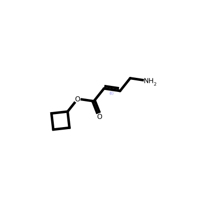 NC/C=C/C(=O)OC1CCC1